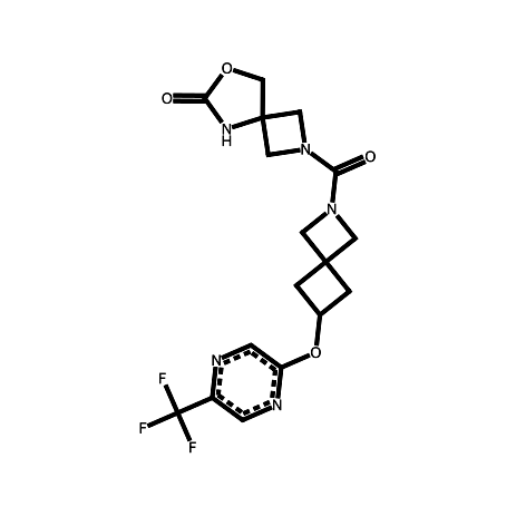 O=C1NC2(CO1)CN(C(=O)N1CC3(CC(Oc4cnc(C(F)(F)F)cn4)C3)C1)C2